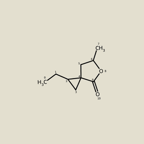 CCC1CC12CC(C)OC2=O